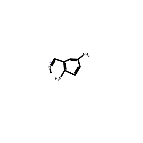 C/N=C\c1cc(N)ccc1N